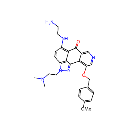 COc1ccc(COc2cncc3c2-c2nn(CCN(C)C)c4ccc(NCCN)c(c24)C3=O)cc1